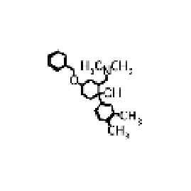 Cc1ccc(C2(O)CCC(OCc3ccccc3)CC2CN(C)C)cc1C